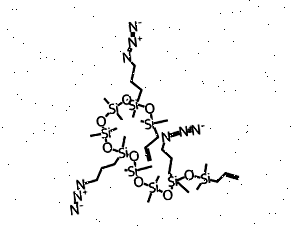 C=CC[Si](C)(C)O[Si](C)(CCCN=[N+]=[N-])O[Si](C)(C)O[Si](C)(C)O[Si](C)(CCCN=[N+]=[N-])O[Si](C)(C)O[Si](C)(C)O[Si](C)(CCCN=[N+]=[N-])O[Si](C)(C)CC=C